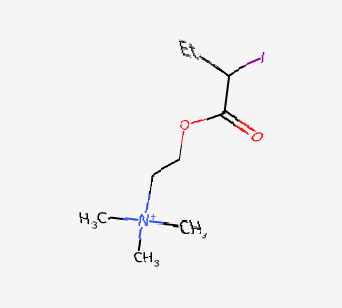 CCC(I)C(=O)OCC[N+](C)(C)C